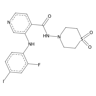 O=C(NN1CCS(=O)(=O)CC1)c1ccncc1Nc1ccc(I)cc1F